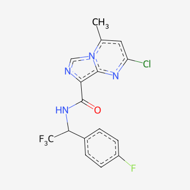 Cc1cc(Cl)nc2c(C(=O)NC(c3ccc(F)cc3)C(F)(F)F)ncn12